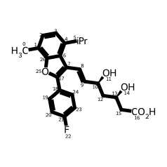 Cc1ccc(C(C)C)c2c(/C=C/[C@@H](O)C[C@@H](O)CC(=O)O)c(-c3ccc(F)cc3)oc12